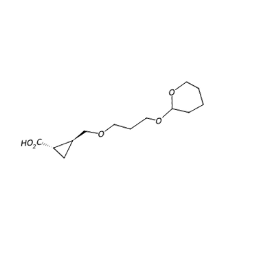 O=C(O)[C@H]1C[C@@H]1COCCCOC1CCCCO1